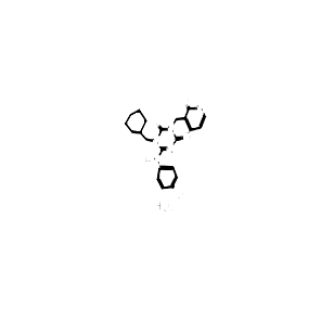 COc1ccc(Nc2nc(=O)n(Cc3ccc[nH]c3=O)c(=O)n2CC2CCCCC2)cc1